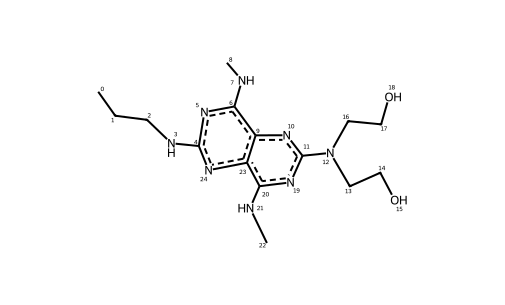 CCCNc1nc(NC)c2nc(N(CCO)CCO)nc(NC)c2n1